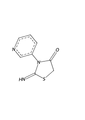 N=C1SCC(=O)N1c1cccnc1